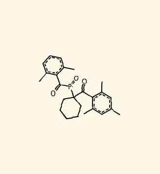 Cc1cc(C)c(C(=O)C2([P](=O)C(=O)c3c(C)cccc3C)CCCCC2)c(C)c1